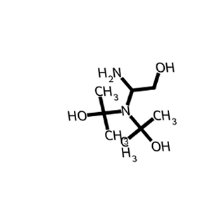 CC(C)(O)N(C(N)CO)C(C)(C)O